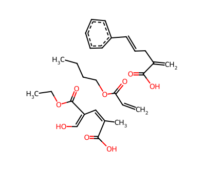 C=C(CC=Cc1ccccc1)C(=O)O.C=CC(=O)OCCCC.CCOC(=O)C(C=C(C)C(=O)O)=CO